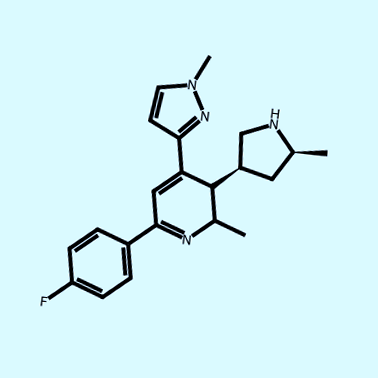 CC1N=C(c2ccc(F)cc2)C=C(c2ccn(C)n2)C1[C@H]1CN[C@@H](C)C1